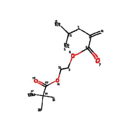 C=C(CC(CC)CC)C(=O)OCCOC(=O)C(C)(C)C(C)(C)C